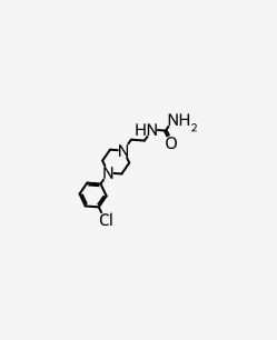 NC(=O)NCCN1CCN(c2cccc(Cl)c2)CC1